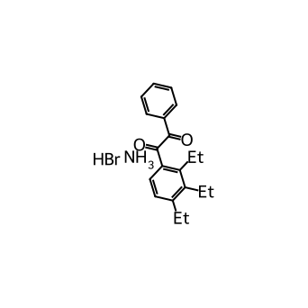 Br.CCc1ccc(C(=O)C(=O)c2ccccc2)c(CC)c1CC.N